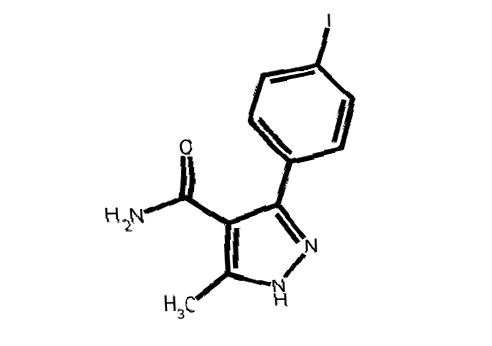 Cc1[nH]nc(-c2ccc(I)cc2)c1C(N)=O